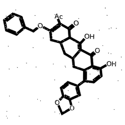 CC(=O)C1=C(OCc2ccccc2)CC2CC3Cc4c(-c5ccc6c(c5)OCO6)ccc(O)c4C(=O)C3=C(O)C2C1=O